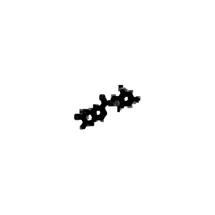 CC1Sc2ccc(C(=O)NCc3c(F)cc(F)cc3F)nc2NC1=O